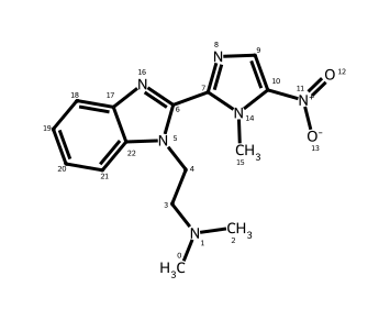 CN(C)CCn1c(-c2ncc([N+](=O)[O-])n2C)nc2ccccc21